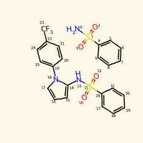 NS(=O)(=O)c1ccccc1.O=S(=O)(Nc1cccn1-c1ccc(C(F)(F)F)cc1)c1ccccc1